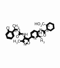 Cc1nc(-c2onc(C)c2NC(=O)O[C@H](C)c2ccccc2Cl)ccc1NC(=O)[C@@H]1CCCC[C@H]1C(=O)O